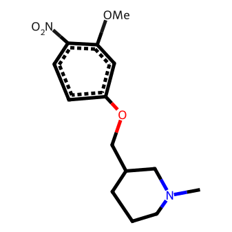 COc1cc(OCC2CCCN(C)C2)ccc1[N+](=O)[O-]